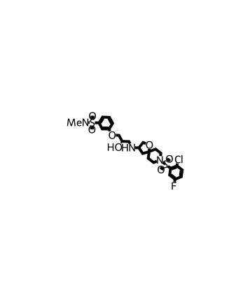 CNS(=O)(=O)c1cccc(OC[C@@H](O)CNC2COC3(CCN(S(=O)(=O)c4cc(F)ccc4Cl)CC3)C2)c1